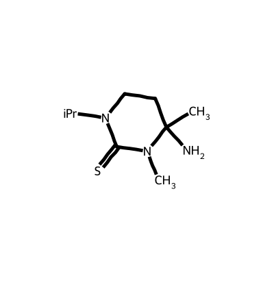 CC(C)N1CCC(C)(N)N(C)C1=S